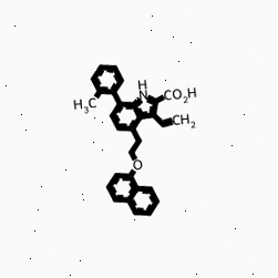 C=Cc1c(C(=O)O)[nH]c2c(-c3ccccc3C)ccc(CCOc3cccc4ccccc34)c12